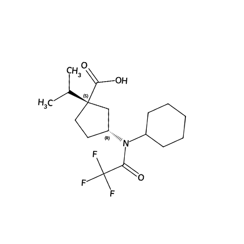 CC(C)[C@]1(C(=O)O)CC[C@@H](N(C(=O)C(F)(F)F)C2CCCCC2)C1